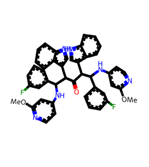 COc1cc(NC(c2cccc(F)c2)C(C(=O)C(c2c[nH]c3ccccc23)C(Nc2ccnc(OC)c2)c2cccc(F)c2)c2c[nH]c3ccccc23)ccn1